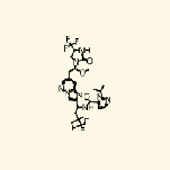 COC(Cc1cnn2cc(C(CC(C)(C)C(F)(F)F)NC(=O)c3ccnn3C(C)C)nc2c1)N1C[C@@H](C(F)(F)F)NC1=O